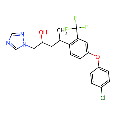 CC(CC(O)Cn1cncn1)c1ccc(Oc2ccc(Cl)cc2)cc1C(F)(F)F